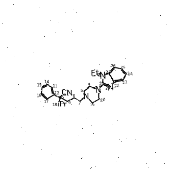 CCn1c(N2CCN(CCCC(C#N)(c3ccccc3)C(C)C)CC2)nc2ccccc21